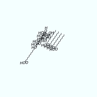 CCCCCCCCCCCC(=O)O.CCCCCCCCCCCC(=O)O.CCCCCCCCCCCC(=O)O.CCCCCCCCCCCC(=O)O.CCCCCCCCCCCC(=O)O.OC[C@@H](O)[C@H]1OC[C@H](O)[C@H]1O.OC[C@@H](O)[C@H]1OC[C@H](O)[C@H]1O.OC[C@@H](O)[C@H]1OC[C@H](O)[C@H]1O